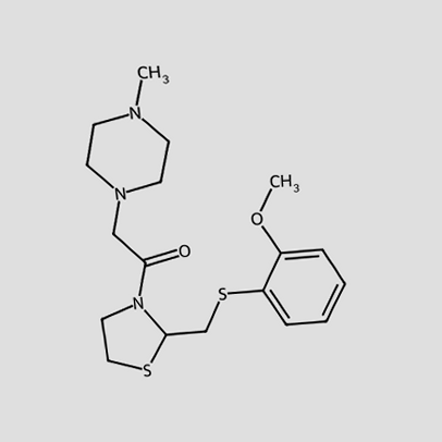 COc1ccccc1SCC1SCCN1C(=O)CN1CCN(C)CC1